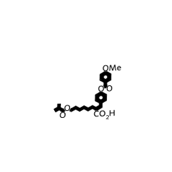 C=C(C)C(=O)OCCCCCCC(=Cc1ccc(OC(=O)c2ccc(OC)cc2)cc1)C(=O)O